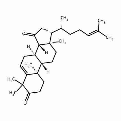 CC(C)=CCC[C@@H](C)[C@H]1CC(=O)[C@H]2[C@@H]3CC=C4C(C)(C)C(=O)CC[C@]4(C)[C@H]3CC[C@]12C